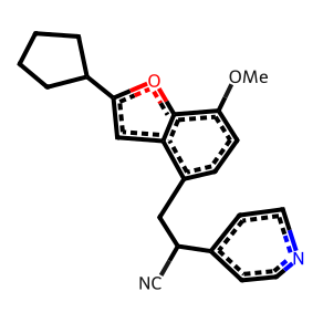 COc1ccc(CC(C#N)c2ccncc2)c2cc(C3CCCC3)oc12